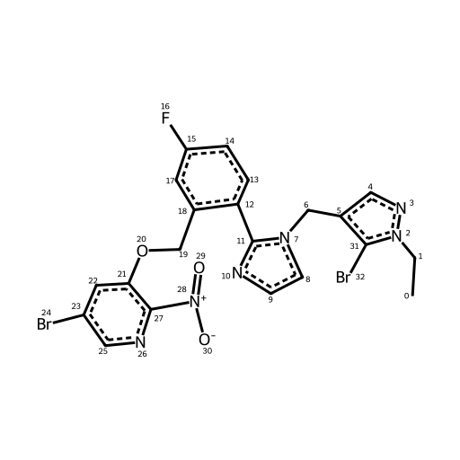 CCn1ncc(Cn2ccnc2-c2ccc(F)cc2COc2cc(Br)cnc2[N+](=O)[O-])c1Br